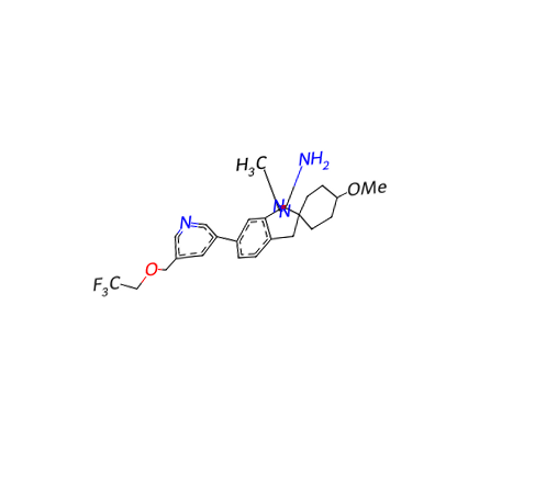 COC1CCC2(CC1)Cc1ccc(-c3cncc(COCC(F)(F)F)c3)cc1C21N=C(C)C(N)=N1